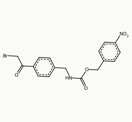 O=C(NCc1ccc(C(=O)CBr)cc1)OCc1ccc([N+](=O)[O-])cc1